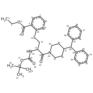 CCOC(=O)c1cccnc1SCC(NC(=O)OC(C)(C)C)C(=O)N1CCC(C(c2ccccc2)c2ccccc2)CC1